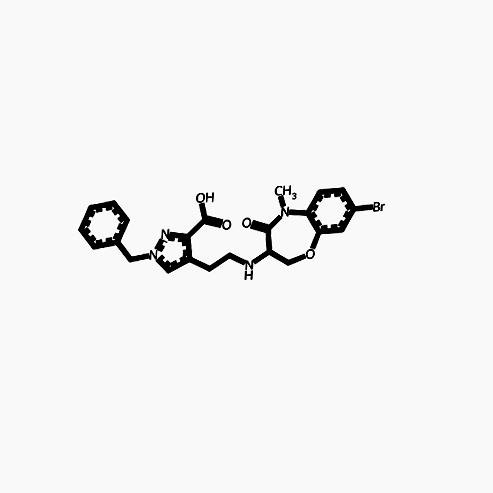 CN1C(=O)C(NCCc2cn(Cc3ccccc3)nc2C(=O)O)COc2cc(Br)ccc21